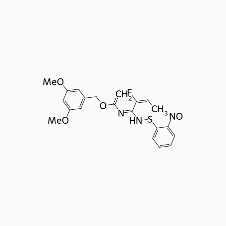 C=C(/N=C(NSc1ccccc1N=O)\C(F)=C/C)OCc1cc(OC)cc(OC)c1